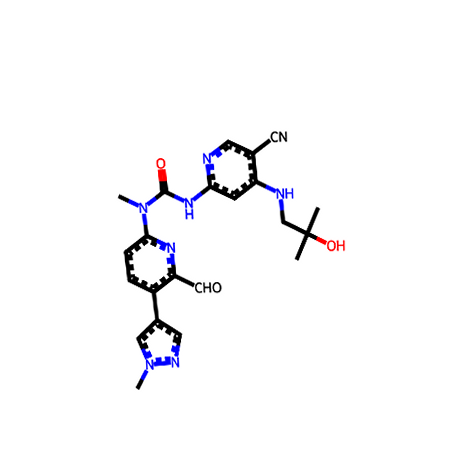 CN(C(=O)Nc1cc(NCC(C)(C)O)c(C#N)cn1)c1ccc(-c2cnn(C)c2)c(C=O)n1